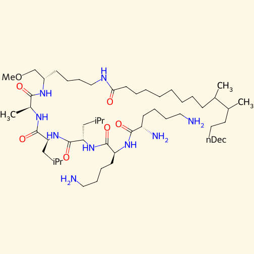 CCCCCCCCCCCCC(C)C(C)CCCCCCCCC(=O)NCCCC[C@@H](COC)NC(=O)[C@H](C)NC(=O)[C@H](CC(C)C)NC(=O)[C@H](CC(C)C)NC(=O)[C@H](CCCCN)NC(=O)[C@@H](N)CCCCN